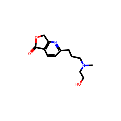 CN(CCO)CCCc1ccc2c(n1)COC2=O